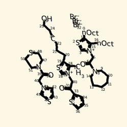 CCCCCCCCc1sc[n+](CC(=O)N2CCCCCC2)c1CCCCCCCC.Cc1c(CCCCCCO)sc[n+]1CC(=O)c1cccs1.O=C(C[n+]1ccsc1)N1CCSCC1.[Br-].[Br-].[Br-]